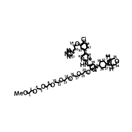 COCCOCCOCCOCCOCCOCCOCCOc1nn([C@H]2CC[C@H](N3[C@@H]4CC[C@H]3COC4)CC2)cc1Nc1ncc(-c2ccc(Cl)c(O[C@@H](C)Cn3cnnn3)c2)cn1